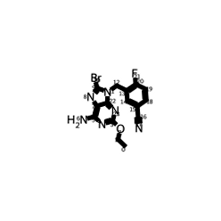 CCOc1nc(N)c2nc(Br)n(Cc3cc(C#N)ccc3F)c2n1